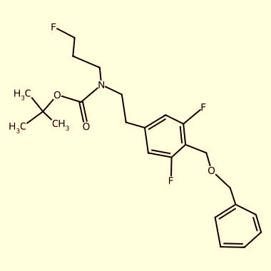 CC(C)(C)OC(=O)N(CCCF)CCc1cc(F)c(COCc2ccccc2)c(F)c1